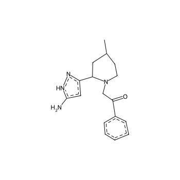 CC1CCN(CC(=O)c2ccccc2)C(c2cc(N)[nH]n2)C1